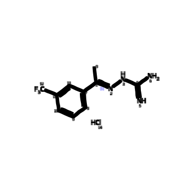 C/C(=N\NC(=N)N)c1cccc(C(F)(F)F)c1.Cl